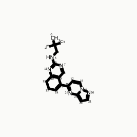 CC(F)(F)CNc1ncc2c(n1)CCC=C2c1ccn2nccc2n1